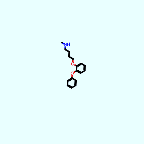 CNCCCCOc1ccccc1Oc1ccccc1